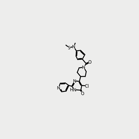 CSN(C)c1ccc(C(=O)N2CCC(c3nc(-c4ccncc4)[nH]c(=O)c3Cl)CC2)cc1